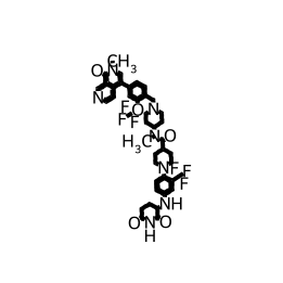 CN(C(=O)C1CCN(c2ccc(NC3CCC(=O)NC3=O)cc2C(F)(F)F)CC1)C1CCN(Cc2ccc(-c3cn(C)c(=O)c4cnccc34)cc2OC(F)(F)F)CC1